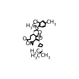 Cc1ccc(N(C)C(=O)C[C@@H](CCC(=O)O)c2noc([C@H]3C[C@@H](CC(C)(C)C)C3)c2C2CC2)c(Cl)c1